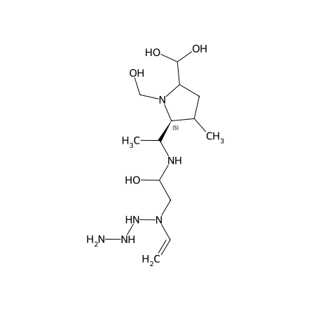 C=CN(CC(O)NC(C)[C@@H]1C(C)CC(C(O)O)N1CO)NNN